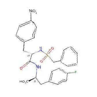 O=C(O)[C@H](Cc1ccc(F)cc1)NC(=O)[C@H](Cc1ccc([N+](=O)[O-])cc1)NS(=O)(=O)Cc1ccccc1